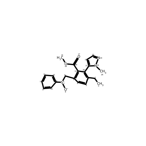 CCc1ccc(C[S+]([O-])c2ccccc2)c(C(=O)OC)c1-c1ccnn1C